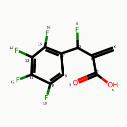 C=C(C(=O)O)C(F)c1cc(F)c(F)c(F)c1F